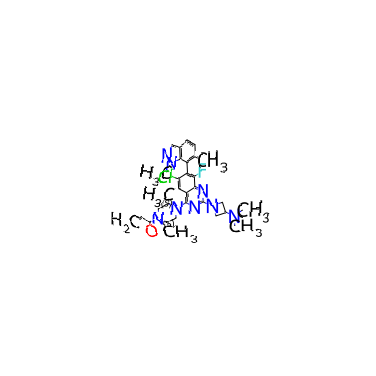 C=CC(=O)N1C[C@H](C)N(c2nc(N3CC(N(C)C)C3)nc3c(F)c(-c4c(C)ccc5cnn(C)c45)c(Cl)cc23)C[C@@H]1C